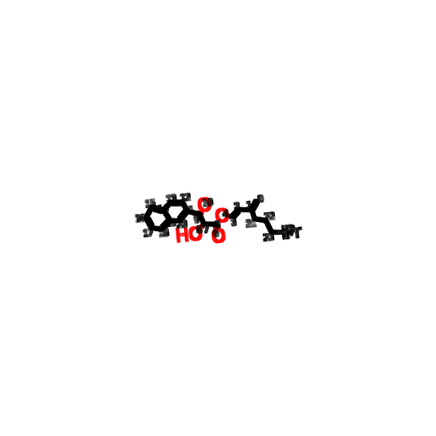 C=C(C=COC(=O)C(O)C(=O)c1ccc2ccccc2c1)CCCC(C)C